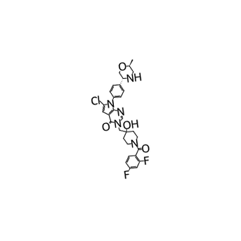 C[C@H]1CN[C@H](c2ccc(-n3c(Cl)cc4c(=O)n(CC5(O)CCN(C(=O)c6ccc(F)cc6F)CC5)cnc43)cc2)CO1